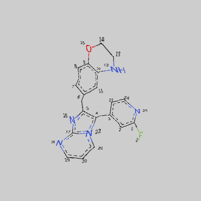 Fc1cc(-c2c(-c3ccc4c(c3)NCCO4)nc3ncccn23)ccn1